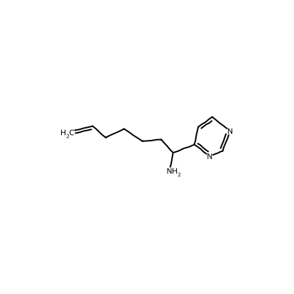 C=CCCCCC(N)c1ccncn1